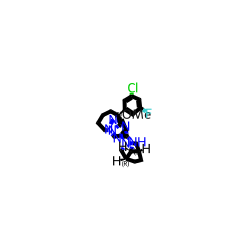 COc1cc(N2C[C@H]3CC[C@@H](C2)[C@@H]3Nc2nc3n(n2)CCCC[C@H]3c2cc(F)cc(Cl)c2)cnn1